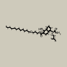 CCCCCCCCCCCCOCCCNC(=O)c1ccc2c(N(OCC(C)C)C(N)=O)cccc2c1O